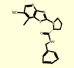 Cc1c(C#N)cnc2nc(N3CCC[C@@H]3C(=O)NCc3ccccc3)sc12